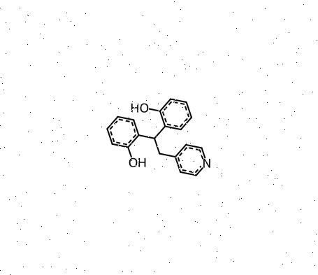 Oc1ccccc1C(Cc1ccncc1)c1ccccc1O